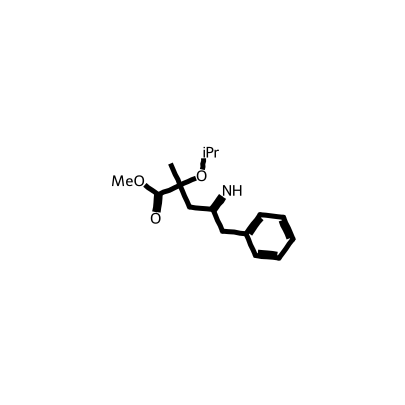 COC(=O)C(C)(CC(=N)Cc1ccccc1)OC(C)C